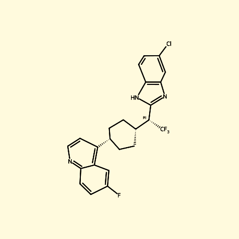 Fc1ccc2nccc([C@H]3CC[C@@H]([C@H](c4nc5cc(Cl)ccc5[nH]4)C(F)(F)F)CC3)c2c1